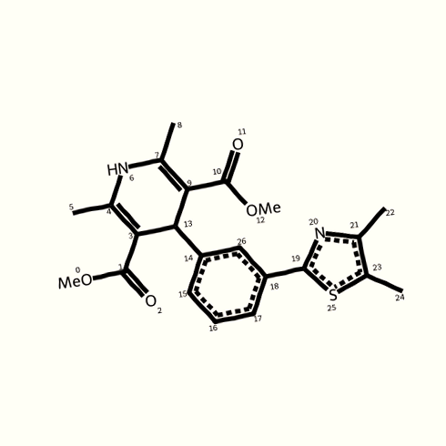 COC(=O)C1=C(C)NC(C)=C(C(=O)OC)C1c1cccc(-c2nc(C)c(C)s2)c1